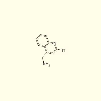 NCc1cc(Cl)nc2ccccc12